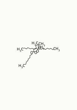 CCCCCCCCOC(=O)/C(CCCCCC)=C(/CC(C)(C)C)C(=O)OCCCCCCCC